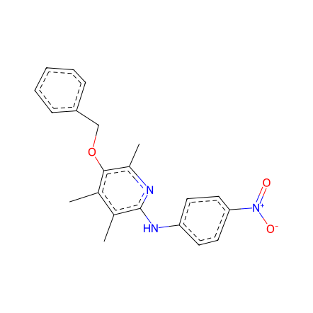 Cc1nc(Nc2ccc([N+](=O)[O-])cc2)c(C)c(C)c1OCc1ccccc1